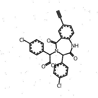 C#Cc1ccc2c(c1)C(=O)N(C(C(=O)O)c1ccc(Cl)cc1)C(c1ccc(Cl)cc1)C(=O)N2